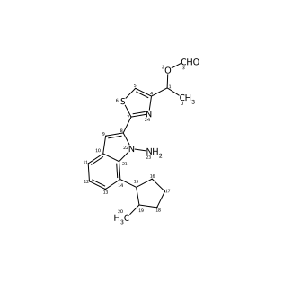 CC(OC=O)c1csc(-c2cc3cccc(C4CCCC4C)c3n2N)n1